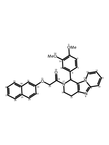 COc1ccc(C2c3c(nc4ccccn34)CCN2C(=O)COc2ccc3ccccc3c2)cc1OC